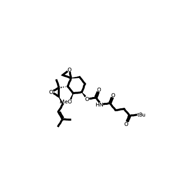 CO[C@H]1[C@H](C2(C)O[C@@H]2CC=C(C)C)[C@]2(CC[C@H]1OC(=O)NC(=O)CCC(=O)C(C)(C)C)CO2